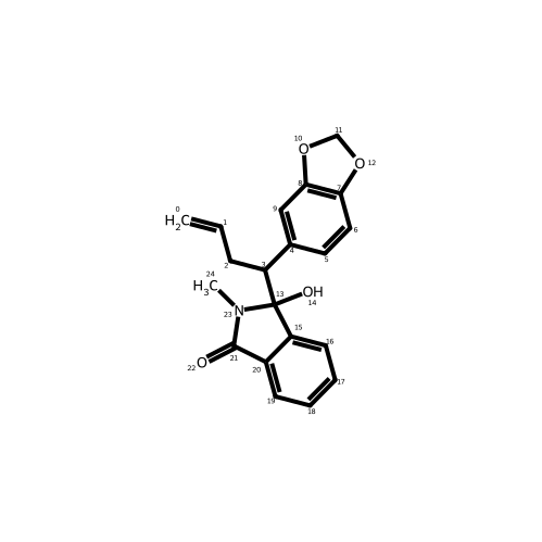 C=CCC(c1ccc2c(c1)OCO2)C1(O)c2ccccc2C(=O)N1C